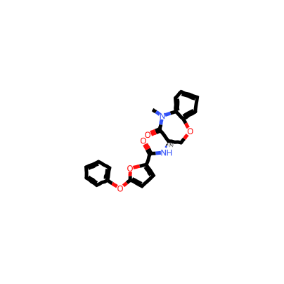 CN1C(=O)[C@@H](NC(=O)c2ccc(Oc3ccccc3)o2)COc2ccccc21